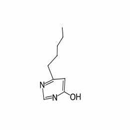 CCCCCc1cc(O)ncn1